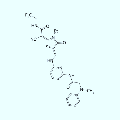 CCn1c(=C(C#N)C(=O)NCC(F)(F)F)sc(=CNc2cccc(NC(=O)CN(C)c3ccccc3)n2)c1=O